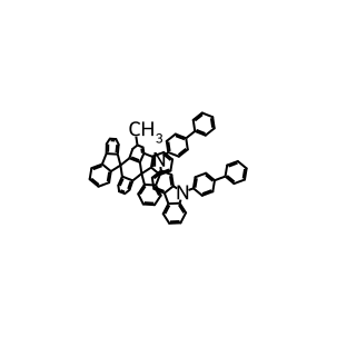 CC1C=C(N(c2ccc(-c3ccccc3)cc2)c2ccc3c4ccccc4n(-c4ccc(-c5ccccc5)cc4)c3c2)C2=C(C1)C1(c3ccccc3-c3ccccc31)c1ccccc1C21c2ccccc2-c2ccccc21